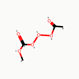 COC(=O)OOOC(C)=O